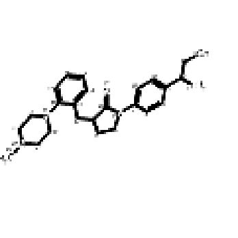 CC(CO)c1ccc(N2CCC(Cc3ccccc3N3CCN(C)CC3)C2=O)cc1